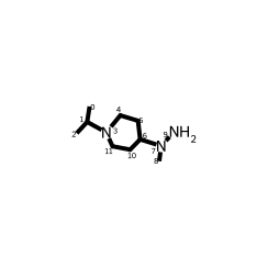 CC(C)N1CCC(N(C)N)CC1